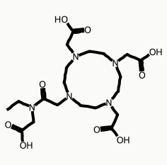 CCN(CC(=O)O)C(=O)CN1CCN(CC(=O)O)CCN(CC(=O)O)CCN(CC(=O)O)CC1